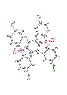 O=P(c1ccc(F)cc1)(c1ccc(F)cc1)c1ccc(P(=O)(c2ccc(F)cc2)c2ccc(F)cc2)cc1